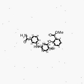 COC(=O)c1ccccc1Oc1nc(Nc2cccc(C(N)=O)c2)ncc1Br